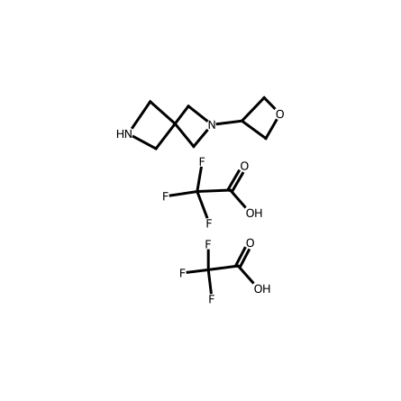 C1OCC1N1CC2(CNC2)C1.O=C(O)C(F)(F)F.O=C(O)C(F)(F)F